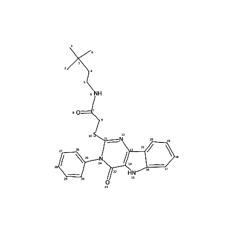 CC(C)(C)CCNC(=O)CSc1nc2c([nH]c3ccccc32)c(=O)n1-c1ccccc1